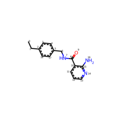 CCc1ccc(CNC(=O)c2cccnc2N)cc1